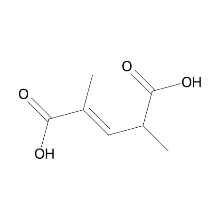 CC(=CC(C)C(=O)O)C(=O)O